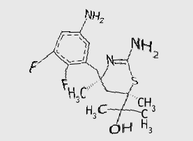 CC(C)(O)[C@@]1(C)C[C@@](C)(c2cc(N)cc(F)c2F)N=C(N)S1